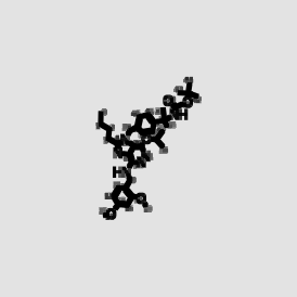 CCCCc1nc2c(NCc3ccc(OC)cc3OC)nnc(OC(C)C)c2n1Cc1ccc(C(C)(C)NC(=O)OC(C)(C)C)cc1